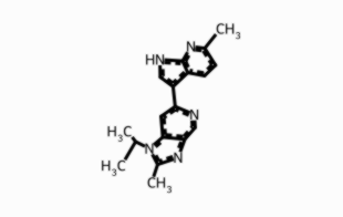 Cc1ccc2c(-c3cc4c(cn3)nc(C)n4C(C)C)c[nH]c2n1